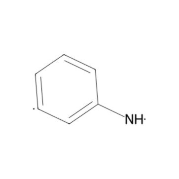 [NH]c1c[c]ccc1